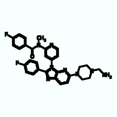 CN(C(=O)c1ccc(F)cc1)c1cc(-n2c(-c3ccc(F)cc3)nc3ccc(N4CCN(CN)CC4)nc32)ccn1